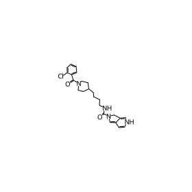 O=C(NCCCCC1CCN(C(=O)c2ccccc2Cl)CC1)N1C=C2C=CNC=C2C1